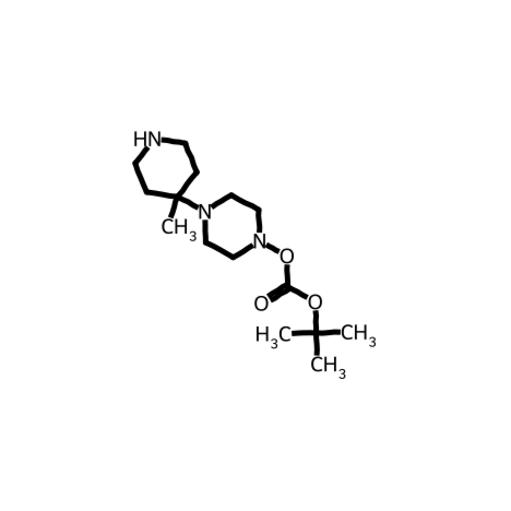 CC(C)(C)OC(=O)ON1CCN(C2(C)CCNCC2)CC1